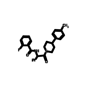 Cc1ccc(C2CCN(C(=O)C(NC(=O)c3ccccc3F)C(C)C)CC2)cc1